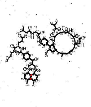 COCCNC(=O)[C@@H](CCC(=O)N[C@@H](C(=O)N[C@H](C)C(=O)Nc1ccc(-c2c(OC)cc3cc2N(C)C(=O)C[C@H](OC(=O)C(C)C)[C@]2(C)O[C@H]2[C@H](C)[C@@H]2CC(O)(C/C=C\C=C(\C)C3)NC(=O)O2)cc1)C(C)C)NC(=O)c1ccc(C(=O)C(CS(=O)(=O)c2ccc(C)cc2)CS(=O)(=O)c2ccc(C)cc2)cc1